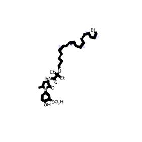 CC/C=C\C/C=C\C/C=C\C/C=C\C/C=C\CCCCOC(CC)(CC)C(=O)NC1CC(C)N(c2ccc(O)c(C(=O)O)c2)C1=O